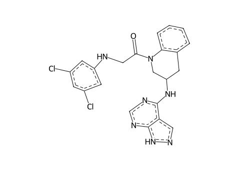 O=C(CNc1cc(Cl)cc(Cl)c1)N1CC(Nc2ncnc3[nH]ncc23)Cc2ccccc21